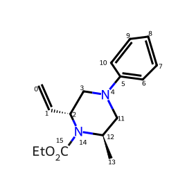 C=C[C@@H]1CN(c2ccccc2)C[C@@H](C)N1C(=O)OCC